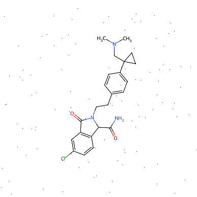 CN(C)CC1(c2ccc(CCN3C(=O)c4cc(Cl)c[c]c4C3C(N)=O)cc2)CC1